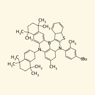 CC1=CC2=C3B(C4=C(SC5C=CC=CC45)N(c4ccc(C(C)(C)C)cc4C)C3C1)c1cc3c(cc1N2C1C=CC2=C(C1)C(C)(C)CCC2(C)C)C(C)(C)CCC3(C)C